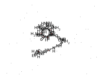 CCOCC(=O)N[C@@H](CSC(C)(C)SCCNCCCNCCCCNCCCNCCCSC(C)(C)SC[C@H](NC(=O)COCCOCCNC(=O)CC[C@@H]1NC(=O)[C@@H](CCCNC(=N)N)NC(=O)[C@H](CCCNC(=N)N)NC(=O)[C@@H](CCCNC(=N)N)NC(=O)[C@H](CCCNC(=N)N)NC(=O)[C@H](Cc2ccc3ccccc3c2)NC(=O)[C@@H](Cc2ccccc2)NC1=O)C(N)=O)C(N)=O